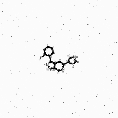 Fc1ccccc1-c1n[nH]c2cnc(-c3cncs3)cc12